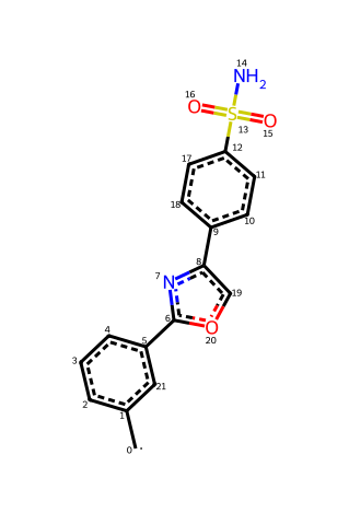 [CH2]c1cccc(-c2nc(-c3ccc(S(N)(=O)=O)cc3)co2)c1